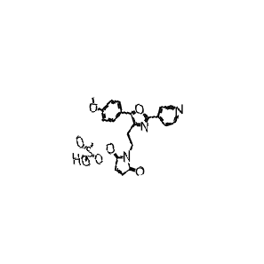 COc1ccc(-c2oc(-c3ccncc3)nc2CCN2C(=O)C=CC2=O)cc1.CS(=O)(=O)O